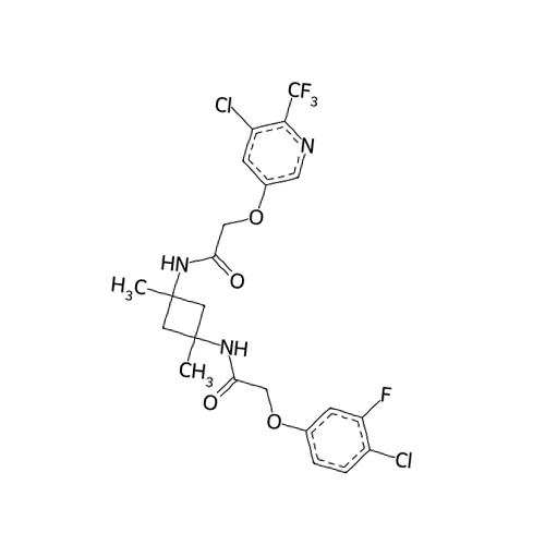 CC1(NC(=O)COc2ccc(Cl)c(F)c2)CC(C)(NC(=O)COc2cnc(C(F)(F)F)c(Cl)c2)C1